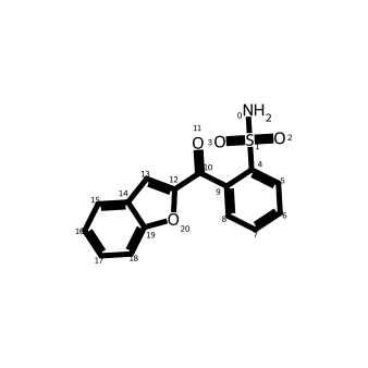 NS(=O)(=O)c1ccccc1C(=O)c1cc2ccccc2o1